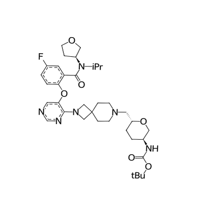 CC(C)N(C(=O)c1cc(F)ccc1Oc1cncnc1N1CC2(CCN(C[C@H]3CC[C@H](NC(=O)OC(C)(C)C)CO3)CC2)C1)[C@H]1CCOC1